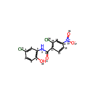 O=C(Nc1cc(Cl)ccc1O)c1ccc([N+](=O)[O-])cc1Cl